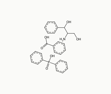 NC(CO)C(O)c1ccccc1.O=C(O)c1ccccc1.O=P(O)(c1ccccc1)c1ccccc1